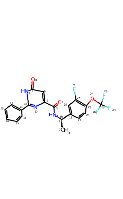 C[C@@H](NC(=O)c1cc(=O)[nH]c(-c2ccccc2)n1)c1ccc(OC(F)(F)F)c(F)c1